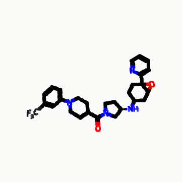 O=C(C1CCN(c2cccc(C(F)(F)F)c2)CC1)N1CC[C@H](NC2CCC3(c4ccccn4)OC3C2)C1